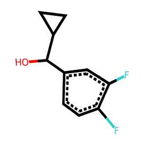 OC(c1ccc(F)c(F)c1)C1CC1